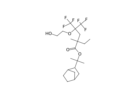 CCC(C)(CC(OCCO)(C(F)(F)F)C(F)(F)F)C(=O)OC(C)(C)C1CC2CCC1C2